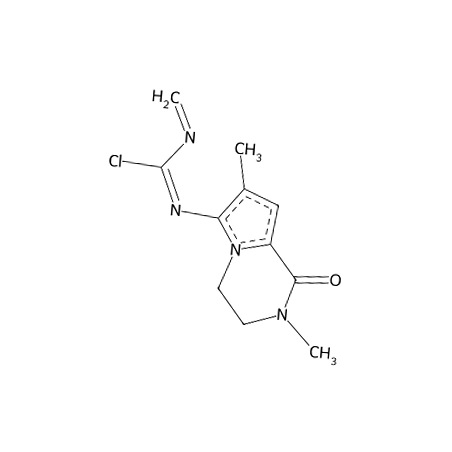 C=N/C(Cl)=N\c1c(C)cc2n1CCN(C)C2=O